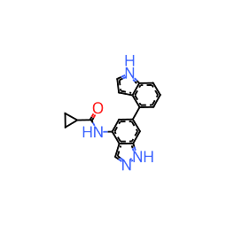 O=C(Nc1cc(-c2cccc3[nH]ccc23)cc2[nH]ncc12)C1CC1